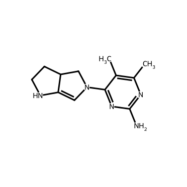 Cc1nc(N)nc(N2C=C3NCCC3C2)c1C